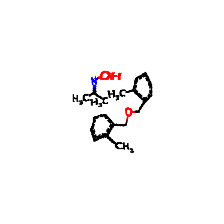 CC(C)=NO.Cc1ccccc1COCc1ccccc1C